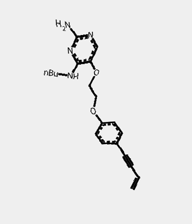 C=CC#Cc1ccc(OCCOc2cnc(N)nc2NCCCC)cc1